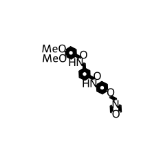 COc1ccc(C(=O)NCc2cccc(C(=O)Nc3ccc(OCCN4CCOCC4)cc3)c2)cc1OC